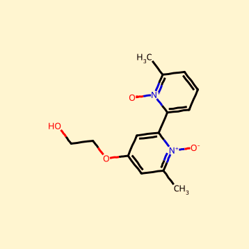 Cc1cccc(-c2cc(OCCO)cc(C)[n+]2[O-])[n+]1[O-]